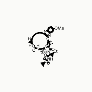 CCC1C[C@]1(NC(=O)[C@@H]1[C@H](C)[C@@H]2CN1C(=O)[C@H](C(C)(C)C)NC(=O)O[C@@H]1C[C@H]1CCCCCc1nc3ccc(OC)cc3nc1O2)C(=O)NS(=O)(=O)C1CC1